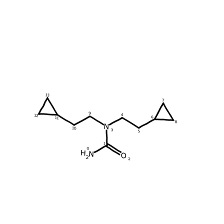 NC(=O)N(CCC1CC1)CCC1CC1